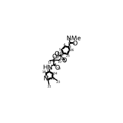 CNC(=O)c1ccc(S(=O)(=O)CC(C)(O)C(=O)Nc2cnc(C)c(C)c2)cc1